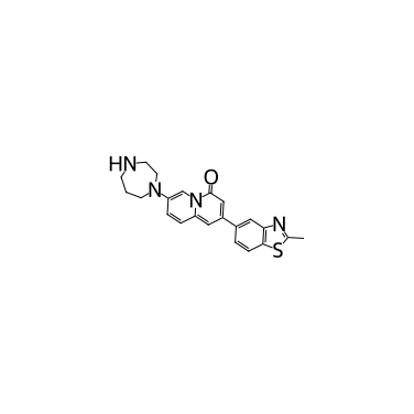 Cc1nc2cc(-c3cc(=O)n4cc(N5CCCNCC5)ccc4c3)ccc2s1